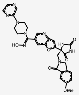 COc1ccc2c(c1)C(=O)N(C[C@@]1(c3cc4ncc(C(=NO)N5CCN(c6cnccn6)CC5)cc4o3)NC(=O)NC1=O)C2